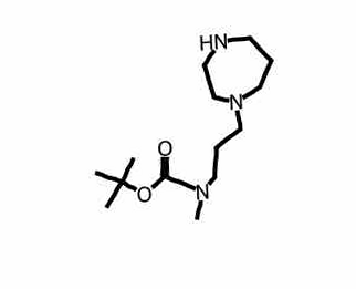 CN(CCCN1CCCNCC1)C(=O)OC(C)(C)C